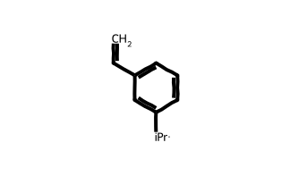 C=Cc1cccc([C](C)C)c1